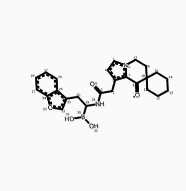 O=C(Cc1ccn2c1C(=O)C1(CCCCC1)CC2)NC(Cc1coc2ccccc12)B(O)O